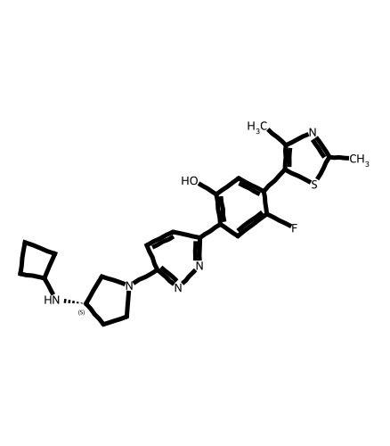 Cc1nc(C)c(-c2cc(O)c(-c3ccc(N4CC[C@H](NC5CCC5)C4)nn3)cc2F)s1